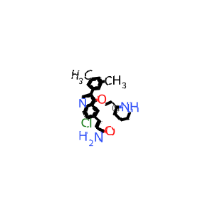 Cc1cc(C)cc(-c2cnc3cc(Cl)c(C=CC(N)=O)cc3c2OCC[C@@H]2CCCCN2)c1